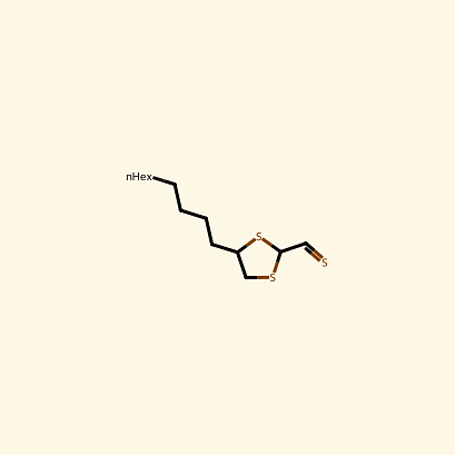 CCCCCCCCCCC1CSC(C=S)S1